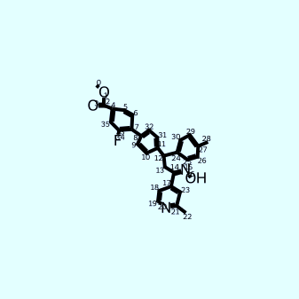 COC(=O)c1ccc(-c2ccc(C(CC(=NO)c3ccnc(C)c3)c3ccc(C)cc3)cc2)c(F)c1